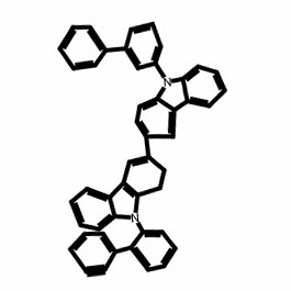 c1cccc(-c2ccccc2-n2c3c(c4ccccc42)C=C(c2ccc4c(c2)c2ccccc2n4-c2cccc(-c4ccccc4)c2)CC3)c#1